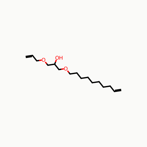 C=CCCCCCCCCOCC(O)COCC=C